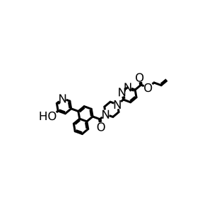 C=CCOC(=O)c1ccc(N2CCN(C(=O)c3ccc(-c4cncc(O)c4)c4ccccc34)CC2)nn1